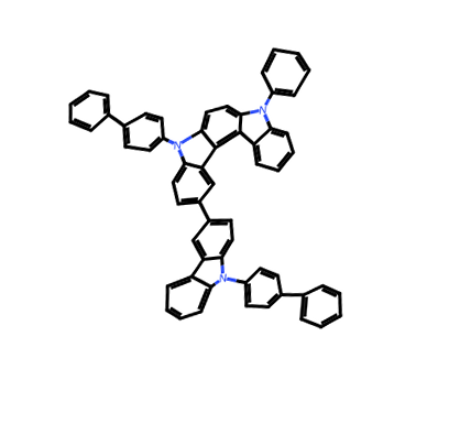 c1ccc(-c2ccc(-n3c4ccccc4c4cc(-c5ccc6c(c5)c5c7c8ccccc8n(-c8ccccc8)c7ccc5n6-c5ccc(-c6ccccc6)cc5)ccc43)cc2)cc1